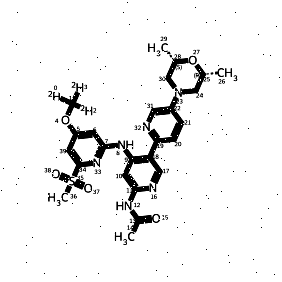 [2H]C([2H])([2H])Oc1cc(Nc2cc(NC(C)=O)ncc2-c2ccc(N3C[C@@H](C)O[C@@H](C)C3)cn2)nc(S(C)(=O)=O)c1